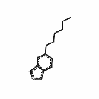 CCCCCCc1ccc2cs[c]c2c1